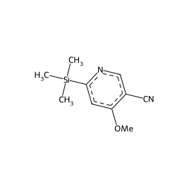 COc1cc([Si](C)(C)C)ncc1C#N